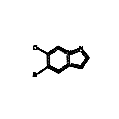 Clc1cn2nccc2cc1Br